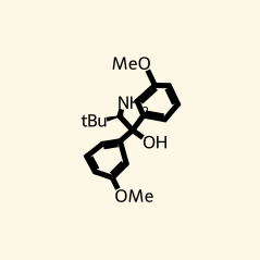 COc1cccc(C(O)(c2cccc(OC)c2)[C@H](N)C(C)(C)C)c1